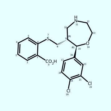 O=C(O)c1ccccc1SC[C@@H]1CNCCO[C@H]1c1ccc(Cl)c(Cl)c1